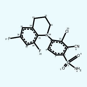 N#Cc1c(S(N)(=O)=O)ccc(N2CCCc3cc(F)cc(F)c32)c1Cl